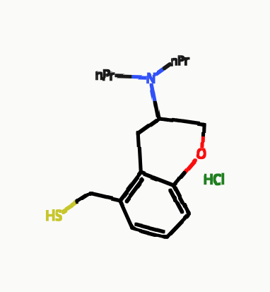 CCCN(CCC)C1COc2cccc(CS)c2C1.Cl